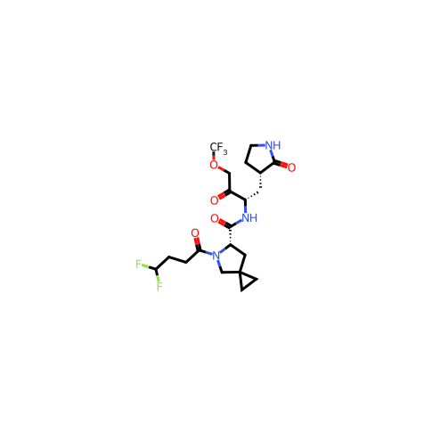 O=C1NCC[C@H]1C[C@H](NC(=O)[C@@H]1CC2(CC2)CN1C(=O)CCC(F)F)C(=O)COC(F)(F)F